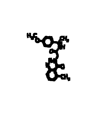 COc1ccc([C@H](C)NC(=O)Cn2nnc3cccc(C)c3c2=O)cc1